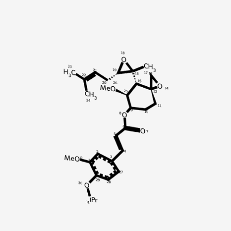 COc1cc(/C=C/C(=O)OC2CC[C@]3(CO3)[C@@H](C3(C)O[C@H]3CC=C(C)C)[C@@H]2OC)ccc1OC(C)C